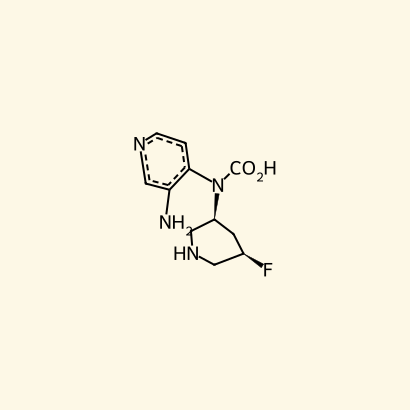 Nc1cnccc1N(C(=O)O)[C@@H]1CNC[C@H](F)C1